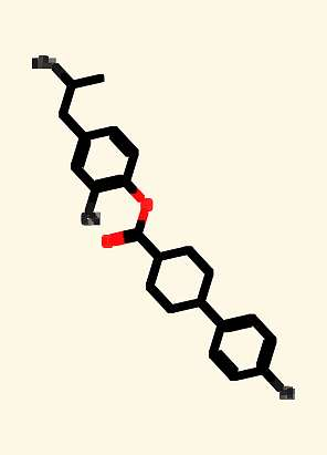 CCCCC(C)Cc1ccc(OC(=O)C2CCC(c3ccc(CC)cc3)CC2)c(C#N)c1